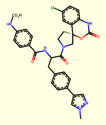 Cn1cc(-c2ccc(CC(NC(=O)c3ccc(NC(=O)O)cc3)C(=O)N3CC[C@@]4(C3)OC(=O)Nc3ccc(Cl)cc34)cc2)cn1